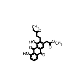 CCC(=O)CCc1c(CC(=O)OC)cc2c(c1O)C(=O)c1c(O)cccc1C2=O